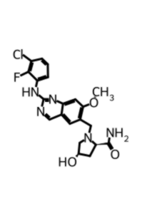 COc1cc2nc(Nc3cccc(Cl)c3F)ncc2cc1CN1C[C@H](O)C[C@@H]1C(N)=O